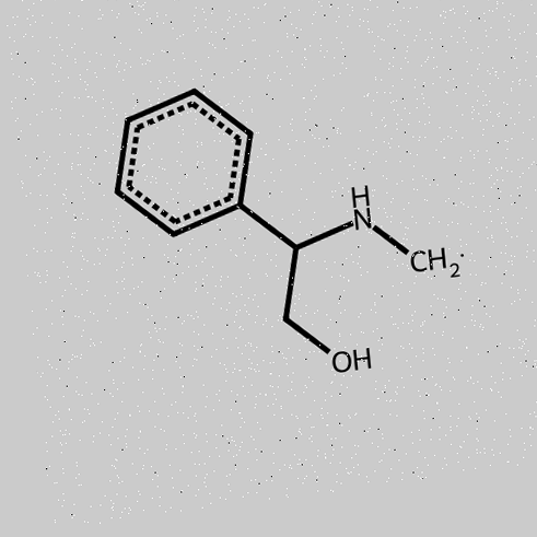 [CH2]NC(CO)c1ccccc1